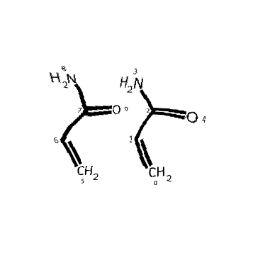 C=CC(N)=O.C=CC(N)=O